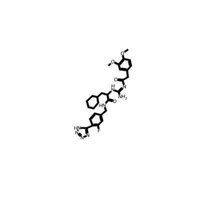 COc1ccc(CC(=O)N=C(N)NC(CC2CCCCC2)C(=O)NCc2ccc(-c3nnn[nH]3)c(F)c2)cc1OC